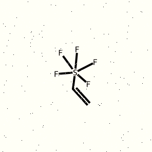 C=CS(F)(F)(F)(F)F